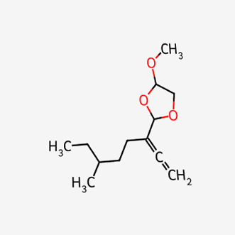 C=C=C(CCC(C)CC)C1OCC(OC)O1